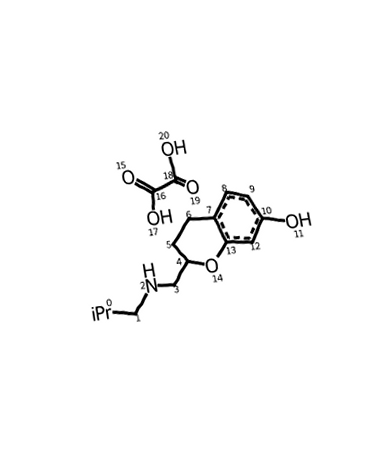 CC(C)CNCC1CCc2ccc(O)cc2O1.O=C(O)C(=O)O